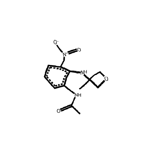 CC(=O)Nc1cccc([N+](=O)[O-])c1NC1(C)COC1